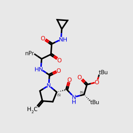 C=C1C[C@@H](C(=O)N[C@H](C(=O)OC(C)(C)C)C(C)(C)C)N(C(=O)NC(CCC)C(=O)C(=O)NC2CC2)C1